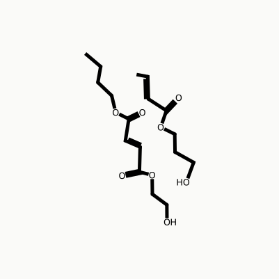 CC=CC(=O)OCCCO.CCCCOC(=O)C=CC(=O)OCCO